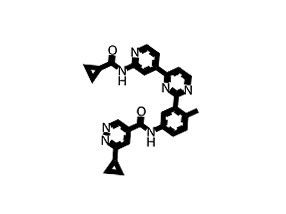 Cc1ccc(NC(=O)c2cnnc(C3CC3)c2)cc1-c1nccc(-c2ccnc(NC(=O)C3CC3)c2)n1